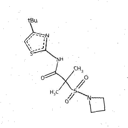 CC(C)(C)c1csc(NC(=O)C(C)(C)S(=O)(=O)N2CCC2)n1